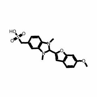 COc1ccc2cc(C3N(C)c4ccc(CS(=O)(=O)O)cc4N3C)oc2c1